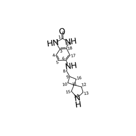 O=c1[nH]c2ccc(NCC3CC4(CCNC4)C3)cc2[nH]1